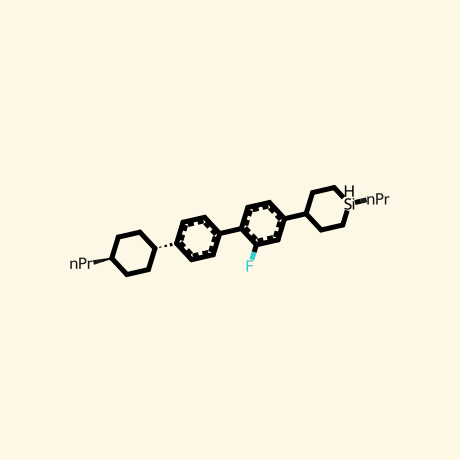 CCC[SiH]1CCC(c2ccc(-c3ccc([C@H]4CC[C@H](CCC)CC4)cc3)c(F)c2)CC1